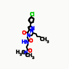 CCCCC1CN(CC(=O)NCCC(=O)N(C)C)C(=O)c2cc(-c3ccc(Cl)cc3)nn21